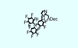 CCCCCCCCCCCc1ncc[nH]1.Fc1c(F)c(F)c(N(c2c(F)c(F)c(F)c(F)c2F)c2c(F)c(F)c(F)c(F)c2F)c(F)c1F